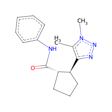 Cc1c([C@H]2CCC[C@@H]2C(=O)Nc2ccccc2)nnn1C